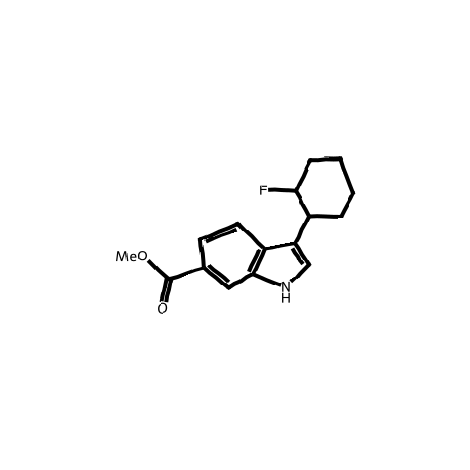 COC(=O)c1ccc2c(C3CCCCC3F)c[nH]c2c1